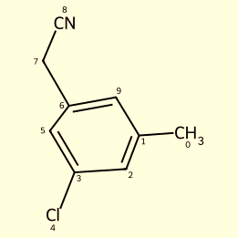 Cc1cc(Cl)cc(CC#N)c1